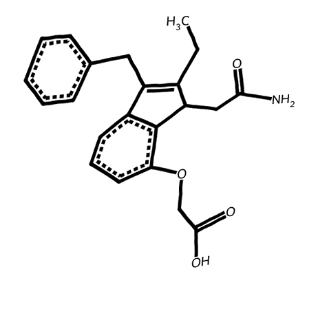 CCC1=C(Cc2ccccc2)c2cccc(OCC(=O)O)c2C1CC(N)=O